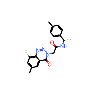 Cc1ccc([C@H](C)NC(=O)Cn2nnc3c(F)cc(C)cc3c2=O)cc1